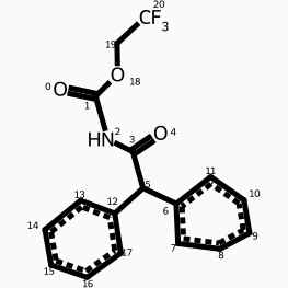 O=C(NC(=O)C(c1ccccc1)c1ccccc1)OCC(F)(F)F